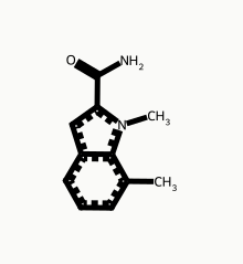 Cc1cccc2cc(C(N)=O)n(C)c12